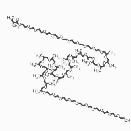 CCC(C)C(=O)OCCOCCOCCOCCOCCOCCOCCOCCOCCOCCOCC(C)OCC(C)OCC(C)OCC(C)OCC(C)OCC(C)OCC(C)OCC(C)OCC(C)OCC(C)OCC(C)OCC(C)OCC(C)OCC(C)OCC(C)OCC(C)OCC(C)OCC(C)OCC(C)OCC(C)OCCOCCOCCOCCOCCOCCOCCOCCOCCOCCO